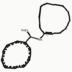 OC(N/C1=C/CCCCCCCCCC1)c1ccccccccc1